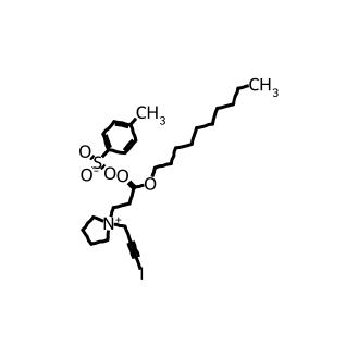 CCCCCCCCCCOC(=O)CC[N+]1(CC#CI)CCCC1.Cc1ccc(S(=O)(=O)[O-])cc1